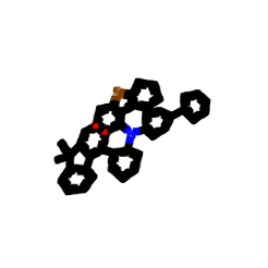 CC1(C)c2ccccc2-c2c(-c3ccccc3N(c3ccc(-c4ccccc4)cc3)c3cccc4sc5ccccc5c34)cccc21